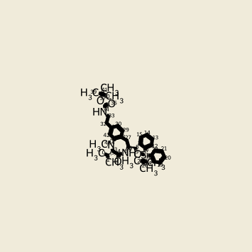 CC(C)[C@H]1C(=O)N[C@H](CO[Si](c2ccccc2)(c2ccccc2)C(C)(C)C)Cc2ccc(CCNC(=O)OC(C)(C)C)cc2N1C